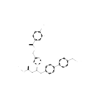 CC(=O)NCc1ccc(-c2ccc(CC(CC(=O)NO)n3cc(CNC(=O)c4ccc(F)cc4)nn3)cc2)cc1